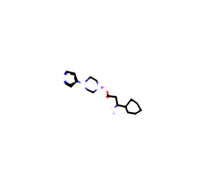 O=CNC(CC(=O)ON1CCN(c2ccncc2)CC1)C1CCCCC1